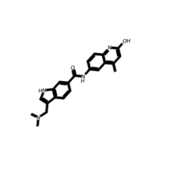 Cc1cc(O)nc2ccc(NC(=O)c3ccc4c(CN(C)C)c[nH]c4c3)cc12